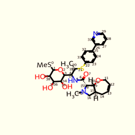 CSC1OC([C@H](NC(=O)[C@@H]2[C@@H]3OCC=CC[C@H]3CN2C)[C@H](C)Sc2ccc(-c3cccnc3)cc2)C(O)C(O)C1O